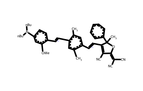 CCCCN(CCCC)c1ccc(/C=C/c2cc(C)c(/C=C/C3=C(C#N)C(=C(C#N)C#N)OC3(C)c3ccccc3)cc2C)c(OC)c1